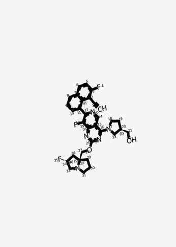 C#Cc1c(F)ccc2cccc(-c3ncc4c(N5CC[C@@H](CO)C5)nc(OC[C@@]56CCCN5C[C@H](F)C6)nc4c3F)c12